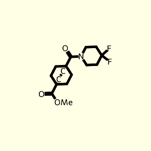 COC(=O)C12CCC(C(=O)N3CCC(F)(F)CC3)(CC1)CC2